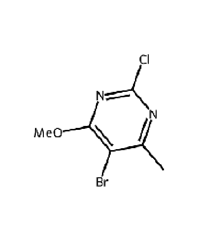 COc1nc(Cl)nc(C)c1Br